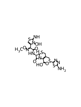 CON=C(C(=O)N[C@@H]1C(=O)N2C(C(=O)O)=C(CSc3nnc(N)s3)CS[C@@H]12)c1csc(=N)n1O